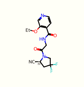 CCOc1cnccc1C(=O)NCC(=O)N1CC(F)(F)C[C@H]1C#N